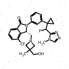 Cn1cnnc1C(F)C1(c2cccc(N3C(=O)c4cccc(C(F)(F)F)c4[C@H]3CN3CC(C)(CO)C3)c2)CC1